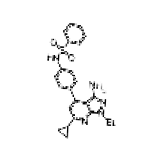 CCn1nc(N)c2c(-c3ccc(NS(=O)(=O)c4ccccc4)cc3)cc(C3CC3)nc21